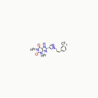 CCCn1c(=O)c2[nH]c(-c3cnn(C/C=C\c4cccc(C(F)(F)F)c4)c3)nc2n(CCC)c1=O